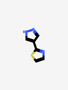 [c]1n[nH]cc1-c1nccs1